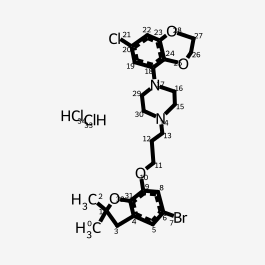 CC1(C)Cc2cc(Br)cc(OCCCN3CCN(c4cc(Cl)cc5c4OCCO5)CC3)c2O1.Cl.Cl